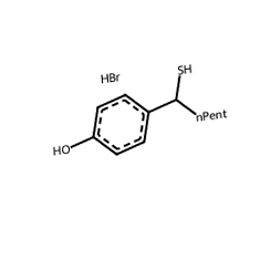 Br.CCCCCC(S)c1ccc(O)cc1